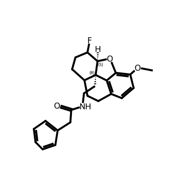 COc1ccc2c3c1O[C@@H]1C(F)CCC(CC2)[C@]31CCNC(=O)Cc1ccccc1